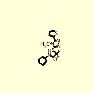 Cn1c(SC(F)(F)C(=O)Nc2ccccc2)nnc1-c1cccs1